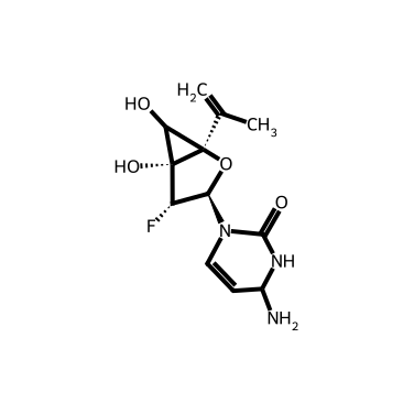 C=C(C)[C@]12O[C@@H](N3C=CC(N)NC3=O)[C@H](F)[C@@]1(O)C2O